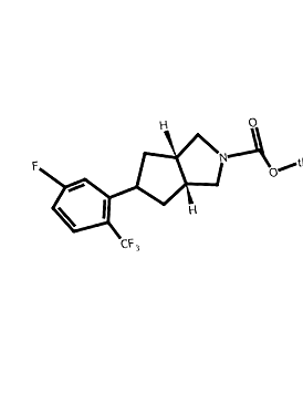 CC(C)(C)OC(=O)N1C[C@H]2CC(c3cc(F)ccc3C(F)(F)F)C[C@H]2C1